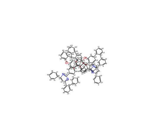 c1ccc(-c2cc(-c3cccc(-c4ccccc4-c4ccc5c(c4)Oc4ccc(-c6ccc(-c7nc(-c8ccccc8)cc(-c8ccccc8-c8ccccc8)n7)cc6)cc4C54c5ccccc5-c5ccccc54)c3)nc(-c3ccc(-c4ccc5c(c4)C4(c6ccccc6O5)c5ccccc5-c5ccccc54)cc3)n2)cc1